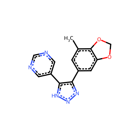 Cc1cc(-c2nn[nH]c2-c2cncnc2)cc2c1OCO2